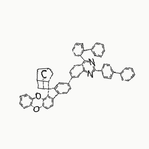 c1ccc(-c2ccc(-c3nc(-c4ccccc4-c4ccccc4)c4ccc(-c5ccc6c(c5)C5(c7c-6ccc6c7Oc7ccccc7O6)C6CC7CC8CC5C86C7)cc4n3)cc2)cc1